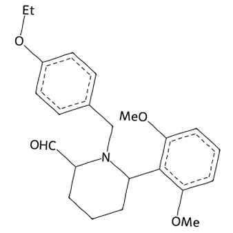 CCOc1ccc(CN2C(C=O)CCCC2c2c(OC)cccc2OC)cc1